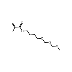 C=C(C)C(=O)OCCCCOCOCOC